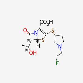 C[C@H](O)[C@@H]1C(=O)N2C(C(=O)O)=C(SC3CCN(CCF)C3)S[C@H]12